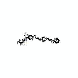 N/C(=N\OC(=O)C(F)(F)F)c1ccc(OCCCN2CCN(CCCOc3cc[c]cn3)CC2)nc1